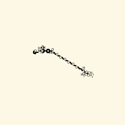 CC(C)(C)OC(=O)NCCCCOCCOCCOCCOCCOCCOCCNC(=O)c1ccc(-c2cnc(NCc3ccco3)n3cnnc23)cc1